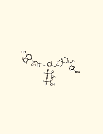 CC(C)(C)c1nc(C(=O)N2CCOC3(CCN(Cc4cc(CCNC[C@H](O)c5ccc(O)c6ncsc56)cs4)CC3)C2)cs1.O=C(O)C(F)(F)F.O=C(O)C(F)(F)F